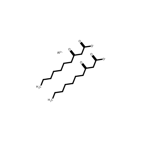 CCCCCCCC(=O)CC(=O)[O-].CCCCCCCC(=O)CC(=O)[O-].[Al+2]